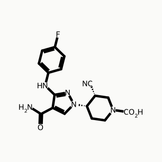 N#C[C@@H]1CN(C(=O)O)CC[C@@H]1n1cc(C(N)=O)c(Nc2ccc(F)cc2)n1